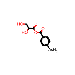 O=C(OC(=O)C(O)CO)c1ccc([AsH2])cc1